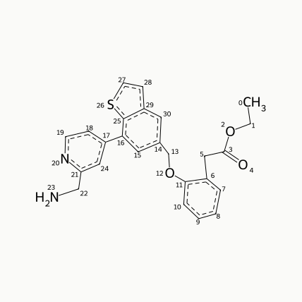 CCOC(=O)Cc1ccccc1OCc1cc(-c2ccnc(CN)c2)c2sccc2c1